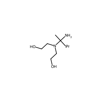 CC(C)C(C)(N)N(CCO)CCO